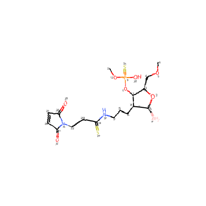 B[C@@H]1O[C@H](COC)C(OP(O)(=S)OC)[C@@H]1CCCNC(=S)CCN1C(=O)C=CC1=O